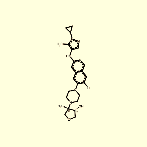 Cc1c(Nc2cc3cc(N4CCN([C@@]5(C)COC[C@H]5O)CC4)c(Cl)cc3cn2)cnn1C1CC1